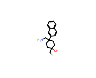 NCC1(c2ccc3ccccc3c2)CCC(O)(CF)CC1